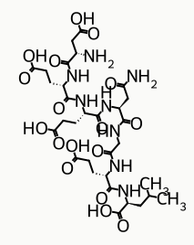 CC(C)C[C@H](NC(=O)[C@H](CCC(=O)O)NC(=O)CNC(=O)[C@H](CC(N)=O)NC(=O)[C@H](CCC(=O)O)NC(=O)[C@H](CCC(=O)O)NC(=O)[C@@H](N)CC(=O)O)C(=O)O